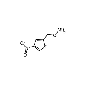 NOCc1cc([N+](=O)[O-])cs1